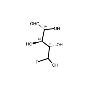 O=C[C@H](O)[C@H](O)[C@H](O)C(O)F